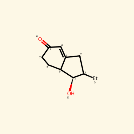 CCC1CC2=CC(=O)CCC2[C@@H]1O